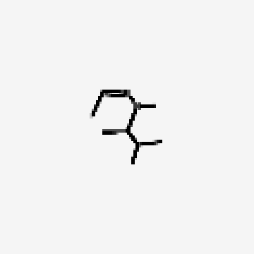 C/C=N\N(C)[C@H](C)C(C)C